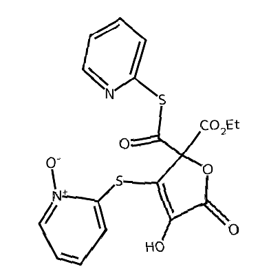 CCOC(=O)C1(C(=O)Sc2ccccn2)OC(=O)C(O)=C1Sc1cccc[n+]1[O-]